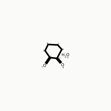 O.O=C1CCCCC1=O